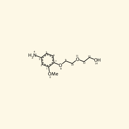 COc1cc(N)ccc1OCCOCCO